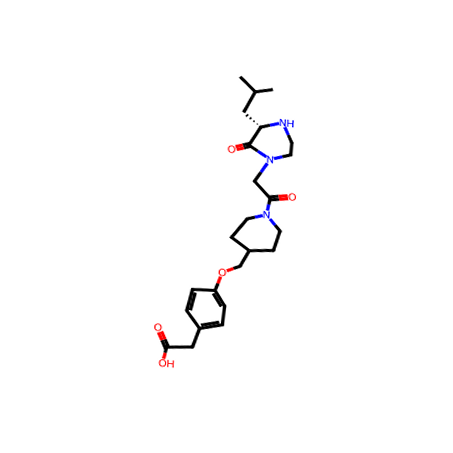 CC(C)C[C@@H]1NCCN(CC(=O)N2CCC(COc3ccc(CC(=O)O)cc3)CC2)C1=O